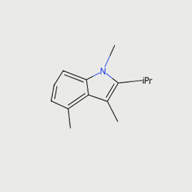 Cc1cccc2c1c(C)c(C(C)C)n2C